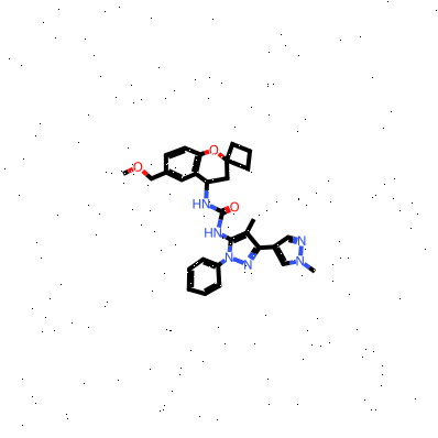 COCc1ccc2c(c1)C(NC(=O)Nc1c(C)c(-c3cnn(C)c3)nn1-c1ccccc1)CC1(CCC1)O2